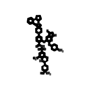 CC(C)c1ccccc1[C@H]1CCCC1N1CC2(CCN(c3ccc(C(=O)NS(=O)(=O)c4cc5c(c([N+](=O)[O-])c4)N[C@@H]([C@H]4CC[C@](C)(O)CC4)CO5)c(Oc4cc5c(F)c[nH]c5nc4OC4CCN(C)CC4)c3)CC2)C1